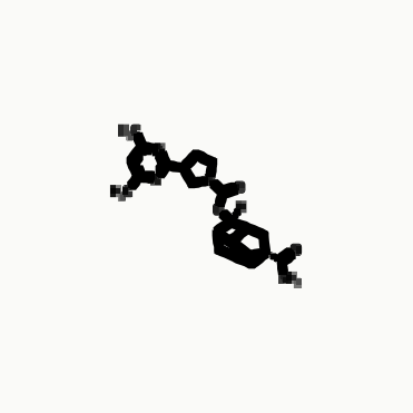 Cc1cc(C)nc(C2CCN(C(=O)O[C@H]3C4CC5CC3C[C@](C(N)=O)(C5)C4)C2)n1